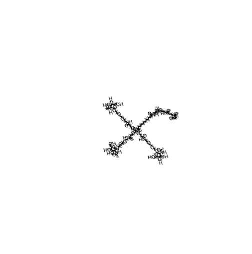 CC(=O)NC1C(OCCOCCOCCNC(=O)CCOCC(COCCC(=O)NCCOCCOCCOC2OC(CO)C(O)C(O)C2NC(C)=O)(COCCC(=O)NCCOCCOCCOC2OC(CO)C(O)C(O)C2NC(C)=O)NC(=O)CCCCCCCCCCC(=O)NCCOC(C)(C)OCCNC(=O)CCN2C(=O)C=CC2=O)OC(CO)C(O)C1O